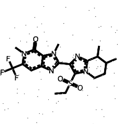 CCS(=O)(=O)c1c(-c2nc3cc(C(F)(F)F)n(C)c(=O)c3n2C)nc2n1CCC(C)C2C